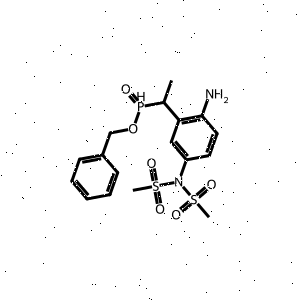 CC(c1cc(N(S(C)(=O)=O)S(C)(=O)=O)ccc1N)[PH](=O)OCc1ccccc1